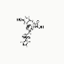 O=C(NO)C(Cc1ccc(O)cc1)n1cc(CNS(=O)(=O)c2ccsc2)nn1